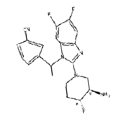 CC(c1cccc(C#N)c1)n1c(N2CC[C@@H](F)[C@H](N)C2)nc2cc(F)c(F)cc21